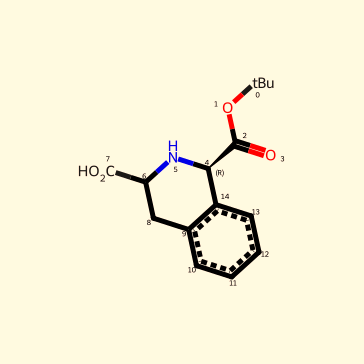 CC(C)(C)OC(=O)[C@@H]1NC(C(=O)O)Cc2ccccc21